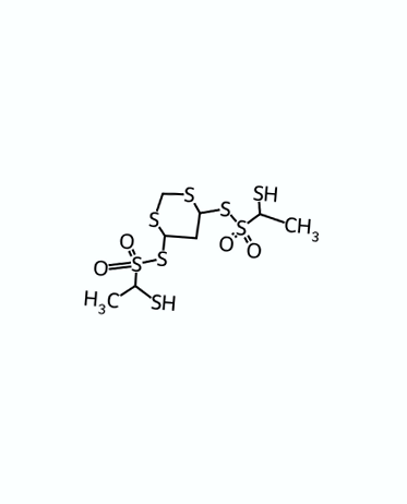 CC(S)S(=O)(=O)SC1CC(SS(=O)(=O)C(C)S)SCS1